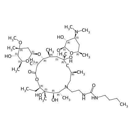 CCCCNC(=O)NCCN1C[C@H](C)C[C@@](C)(O)[C@@H](O[C@@H]2O[C@H](C)C[C@H](N(C)C)[C@H]2O)[C@H](C)[C@@H](O[C@@H]2C[C@@](C)(OC)[C@@H](O)[C@H](C)O2)[C@@H](C)C(=O)O[C@H](CC)[C@@](C)(O)[C@H](O)[C@H]1C